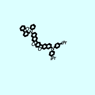 CC(C)c1ccc(N(c2ccc(C(C)C)cc2)c2ccc3cc4c(cc3c2)oc2cc3oc5cc6cc(N(c7ccccc7)c7cccc8c7oc7ccccc78)ccc6cc5c3cc24)cc1